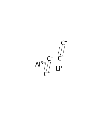 [Al+3].[C-]#[C-].[C-]#[C-].[Li+]